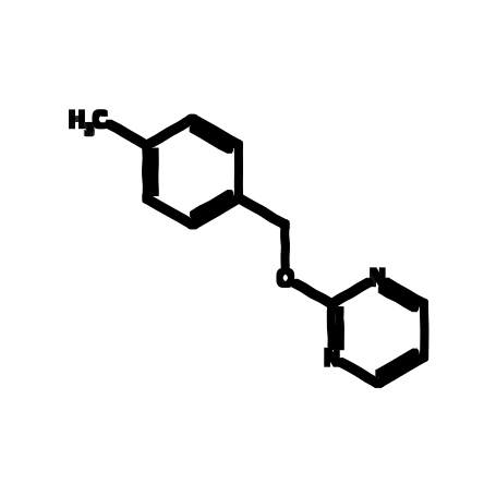 Cc1ccc(COc2ncccn2)cc1